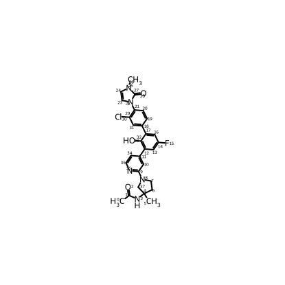 CC(=O)NC1(C)CCN(c2cc(-c3cc(F)cc(-c4ccc(-n5ccn(C)c5=O)c(Cl)c4)c3O)ccn2)C1